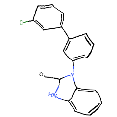 CCC1Nc2ccccc2N1c1cccc(-c2cccc(Cl)c2)c1